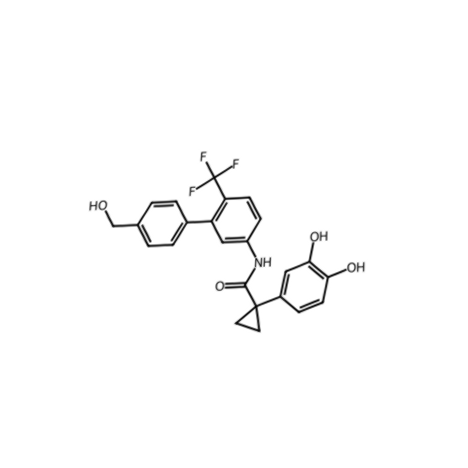 O=C(Nc1ccc(C(F)(F)F)c(-c2ccc(CO)cc2)c1)C1(c2ccc(O)c(O)c2)CC1